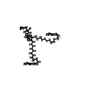 CCCCC/C=C\C/C=C\CCCCCCCC1OC(C)(OCC(C)(C)CC(C)C)OC1CCCCCCC/C=C\C/C=C\CCCCC